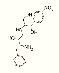 N[C@@H](Cc1ccccc1)[C@H](O)CN[C@@H](CO)C(O)c1ccc([N+](=O)[O-])cc1